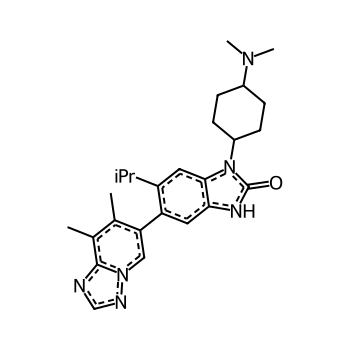 Cc1c(-c2cc3[nH]c(=O)n(C4CCC(N(C)C)CC4)c3cc2C(C)C)cn2ncnc2c1C